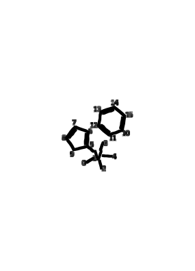 [CH3][V]([CH3])([CH3])([CH3])[C]1=CC=CC1.c1ccccc1